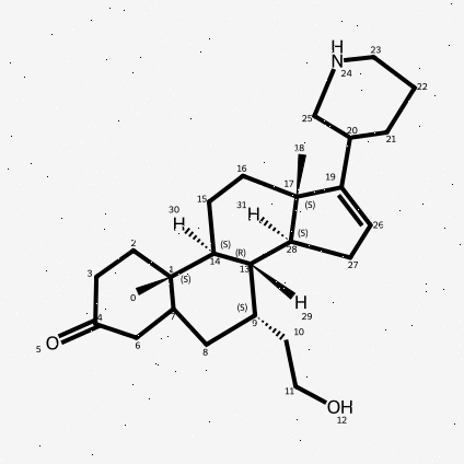 C[C@]12CCC(=O)CC1C[C@@H](CCO)[C@@H]1[C@@H]2CC[C@]2(C)C(C3CCCNC3)=CC[C@@H]12